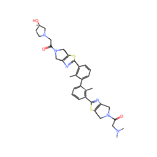 Cc1c(-c2nc3c(s2)CN(C(=O)CN(C)C)C3)cccc1-c1cccc(-c2nc3c(s2)CN(C(=O)CN2CC[C@@H](O)C2)C3)c1C